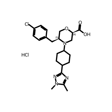 Cc1nc(C2CCC(N3C[C@H](C(=O)O)OC[C@@H]3Cc3ccc(Cl)cc3)CC2)nn1C.Cl